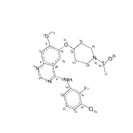 COc1cc2ncnc(Nc3cccc(Cl)c3F)c2cc1OC1CCN([S+](C)[O-])CC1